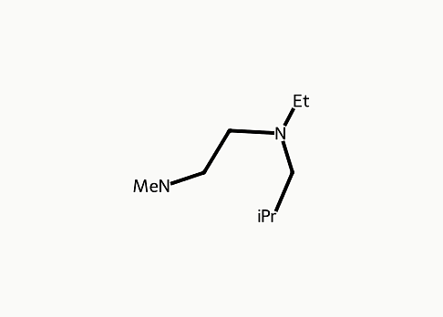 CCN(CCNC)CC(C)C